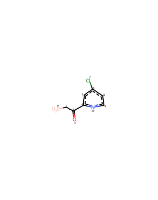 BCC(=O)c1cc(Cl)ccn1